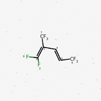 FC(F)=C(C=CC(F)(F)F)C(F)(F)F